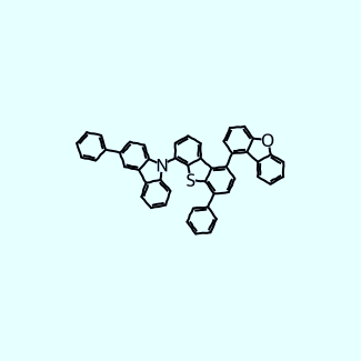 c1ccc(-c2ccc3c(c2)c2ccccc2n3-c2cccc3c2sc2c(-c4ccccc4)ccc(-c4cccc5oc6ccccc6c45)c23)cc1